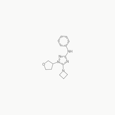 c1ccc(Nc2nc(N3CCC3)n(C3CCOC3)n2)cc1